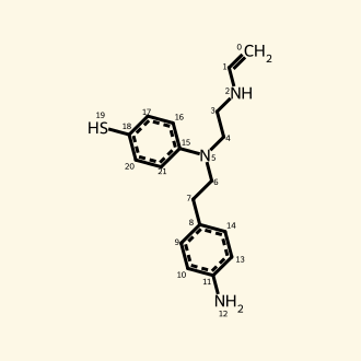 C=CNCCN(CCc1ccc(N)cc1)c1ccc(S)cc1